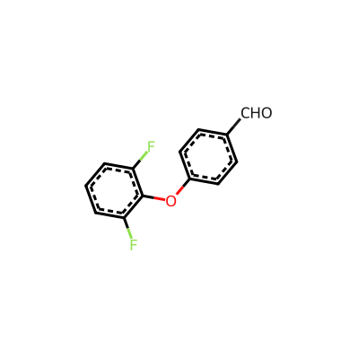 O=Cc1ccc(Oc2c(F)cccc2F)cc1